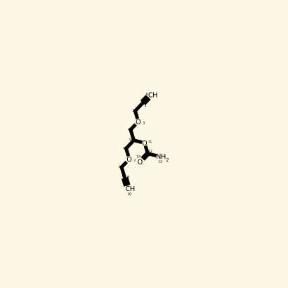 C#CCOCC(COCC#C)OC(N)=O